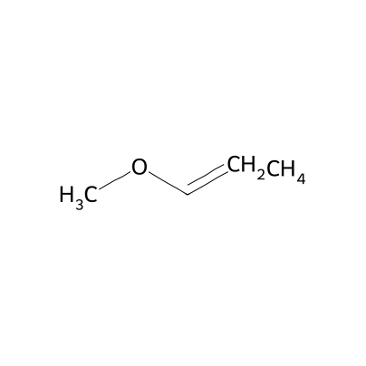 C.C=COC